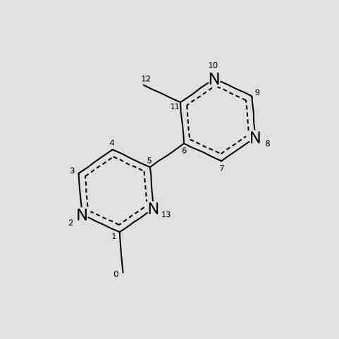 Cc1nccc(-c2cncnc2C)n1